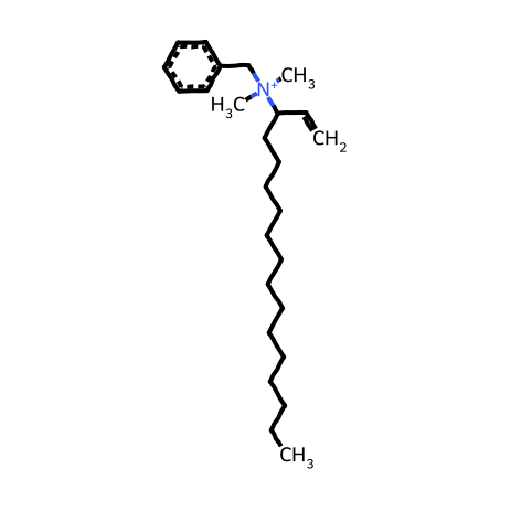 C=CC(CCCCCCCCCCCCCC)[N+](C)(C)Cc1ccccc1